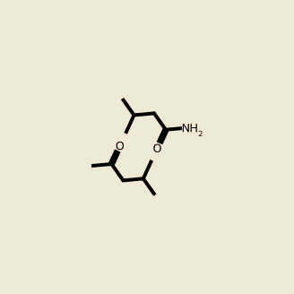 CC(=O)CC(C)C.CC(C)CC(N)=O